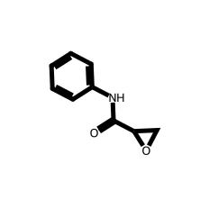 O=C(Nc1ccccc1)C1CO1